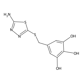 Nc1nnc(SCc2cc(O)c(O)c(O)c2)s1